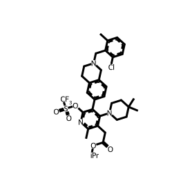 Cc1cccc(Cl)c1CN1CCc2cc(-c3c(OS(=O)(=O)C(F)(F)F)nc(C)c(CC(=O)OC(C)C)c3N3CCC(C)(C)CC3)ccc2C1